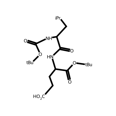 CC(C)CC(NC(=O)OC(C)(C)C)C(=O)NC(CCC(=O)O)C(=O)OC(C)(C)C